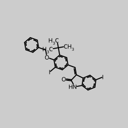 CC(C)(C)c1cc(C=C2C(=O)Nc3ccc(I)cc32)cc(I)c1OCc1ccccc1